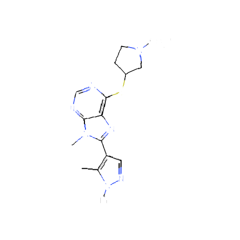 CCn1ncc(-c2nc3c(SC4CCN(C(=O)O)C4)ncnc3n2C)c1C